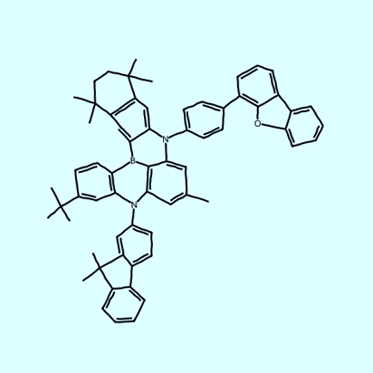 Cc1cc2c3c(c1)N(c1ccc(-c4cccc5c4oc4ccccc45)cc1)c1cc4c(cc1B3c1ccc(C(C)(C)C)cc1N2c1ccc2c(c1)C(C)(C)c1ccccc1-2)C(C)(C)CCC4(C)C